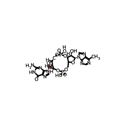 Cc1ncnc2c1ncn2[C@@H]1OC2COP(=O)(O)O[C@@H]3[C@H](O)[C@@H](COP(=O)(O)O[C@H]2[C@H]1O)O[C@H]3n1cnc2c(=O)[nH]c(N)nc21